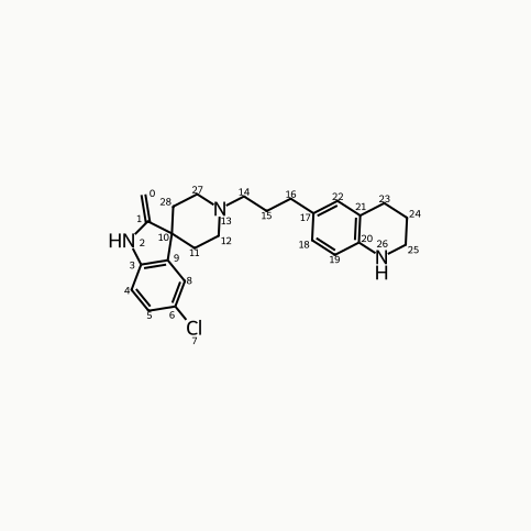 C=C1Nc2ccc(Cl)cc2C12CCN(CCCc1ccc3c(c1)CCCN3)CC2